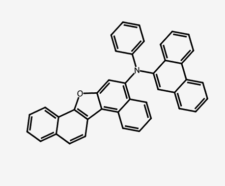 c1ccc(N(c2cc3ccccc3c3ccccc23)c2cc3oc4c5ccccc5ccc4c3c3ccccc23)cc1